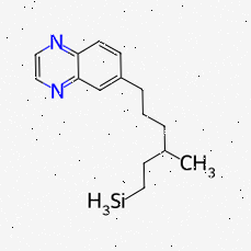 CC(CC[SiH3])CCCc1ccc2nccnc2c1